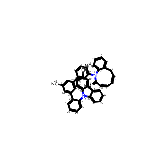 C=C1/C=C\C=C/Cc2cccc(C#N)c2N1c1cccc(-c2cc(C#N)cc(-c3ccccc3-n3c4ccccc4c4cc(C#N)ccc43)c2)c1